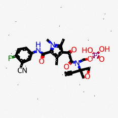 C#CC1(N(COP(=O)(O)O)C(=O)C(=O)c2c(C)c(C(=O)Nc3ccc(F)c(C#N)c3)n(C)c2C)COC1